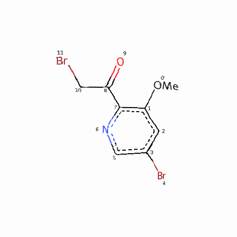 COc1cc(Br)cnc1C(=O)CBr